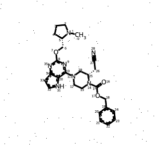 CN1CCC[C@H]1COc1nc(N2CCN(C(=O)OCc3ccccc3)[C@@H](CC#N)C2)c2[nH]ccc2n1